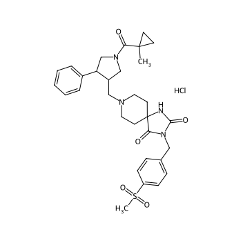 CC1(C(=O)N2CC(CN3CCC4(CC3)NC(=O)N(Cc3ccc(S(C)(=O)=O)cc3)C4=O)C(c3ccccc3)C2)CC1.Cl